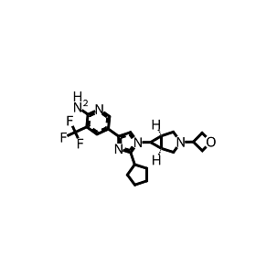 Nc1ncc(-c2cn(C3[C@H]4CN(C5COC5)C[C@@H]34)c(C3CCCC3)n2)cc1C(F)(F)F